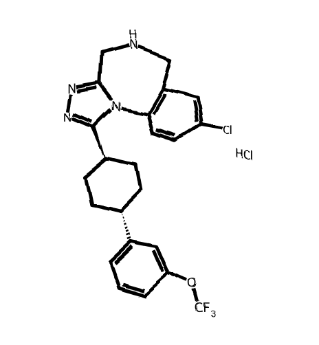 Cl.FC(F)(F)Oc1cccc([C@H]2CC[C@H](c3nnc4n3-c3ccc(Cl)cc3CNC4)CC2)c1